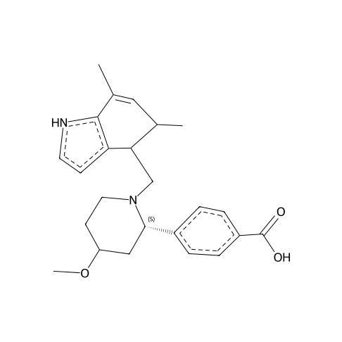 COC1CCN(CC2c3cc[nH]c3C(C)=CC2C)[C@H](c2ccc(C(=O)O)cc2)C1